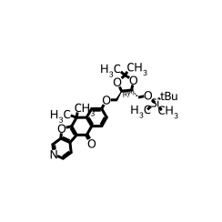 CC1(C)O[C@H](COc2ccc3c(c2)C(C)(C)c2oc4cnccc4c2C3=O)[C@@H](CO[Si](C)(C)C(C)(C)C)O1